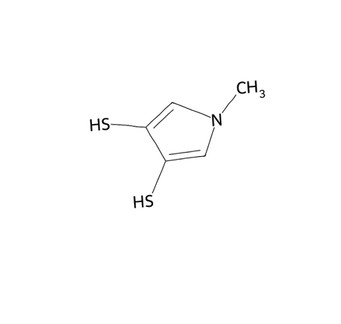 Cn1cc(S)c(S)c1